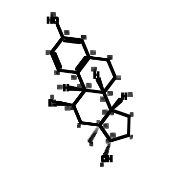 CC[C@@H]1C[C@]2(C)[C@@H](O)CC[C@H]2[C@H]2CCc3cc(O)ccc3[C@@H]12